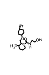 CC(C)C1CCC(OCC2C(N)CCCN2C(=O)NCCO)CC1